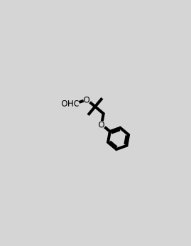 CC(C)(COc1ccccc1)OC=O